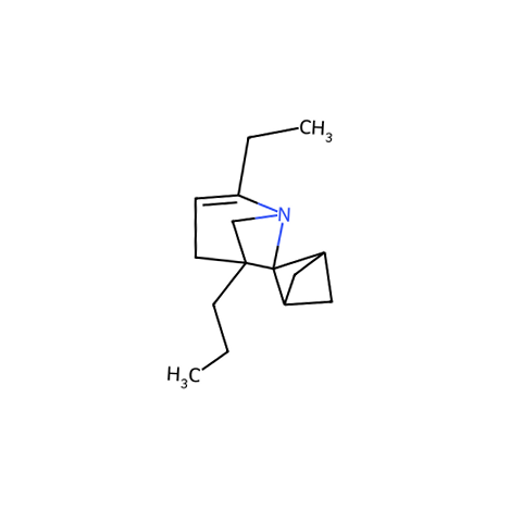 CCCC12CC=C(CC)N(C1)C21C2CC1C2